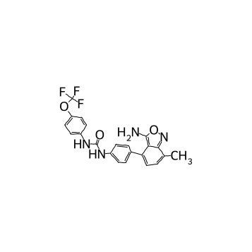 Cc1ccc(-c2ccc(NC(=O)Nc3ccc(OC(F)(F)F)cc3)cc2)c2c(N)onc12